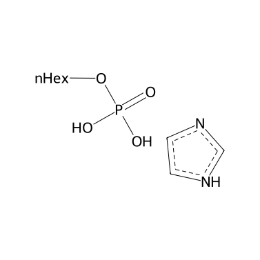 CCCCCCOP(=O)(O)O.c1c[nH]cn1